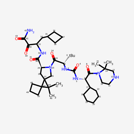 CC(C)(C)[C@H](NC(=O)N[C@H](C(=O)N1CCNCC1(C)C)C1CCCCC1)C(=O)N1CC2(C[C@H]1C(=O)NC(CC1CCC1)C(=O)C(N)=O)C(C)(C)C21CCC1